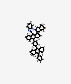 c1ccc(-c2c3ccccc3c(-c3ccc(-c4c5ccccc5c(-c5nc6ccccc6n5-c5ccc6ccccc6c5)c5ccccc45)cc3)c3ccccc23)cc1